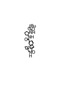 CC(C)(C)OC(=O)NC1CCCC1NC(=O)c1ccc2cc3n(c2c1)C1(CCC1)CNC3=O